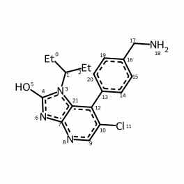 CCC(CC)n1c(O)nc2ncc(Cl)c(-c3ccc(CN)cc3)c21